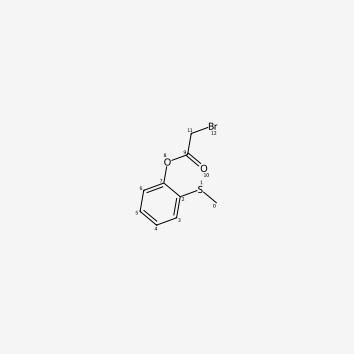 CSc1ccccc1OC(=O)CBr